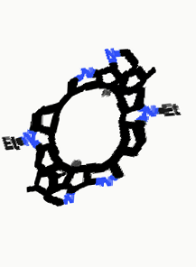 CCn1c2ccc3cc2c2cc(ccc21)[C@@]1(c2ccc(C)cc2)c2cccnc2-c2ncc(cc21)-c1ccc2c(c1)c1cc(ccc1n2CC)[C@]1(c2ccc(C)cc2)c2cccnc2-c2ncc-3cc21